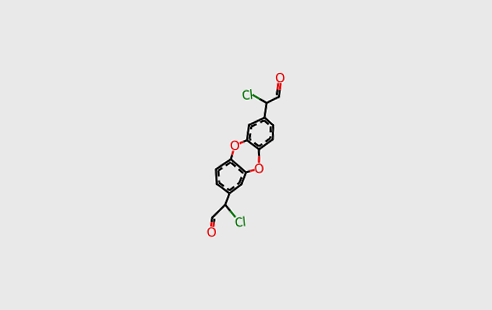 O=CC(Cl)c1ccc2c(c1)Oc1ccc(C(Cl)C=O)cc1O2